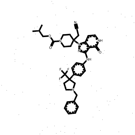 CC(C)COC(=O)N1CCC(CC#N)(n2nc(Nc3ccc(C4(C(F)(F)F)CCN(Cc5ccccc5)C4)cc3)c3c(=O)[nH]ccc32)CC1